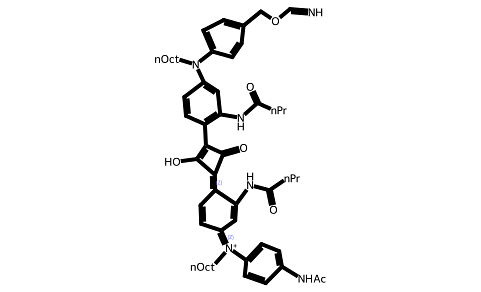 CCCCCCCCN(c1ccc(COC=N)cc1)c1ccc(C2=C(O)/C(=C3C=C/C(=[N+](\CCCCCCCC)c4ccc(NC(C)=O)cc4)C=C\3NC(=O)CCC)C2=O)c(NC(=O)CCC)c1